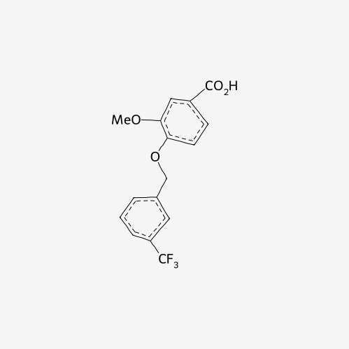 COc1cc(C(=O)O)ccc1OCc1cccc(C(F)(F)F)c1